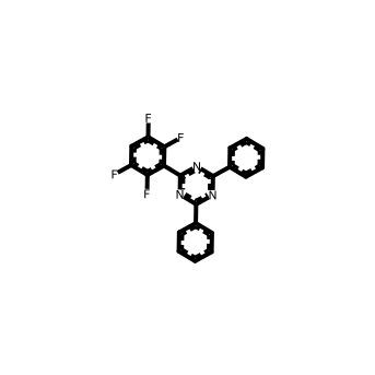 Fc1cc(F)c(F)c(-c2nc(-c3ccccc3)nc(-c3ccccc3)n2)c1F